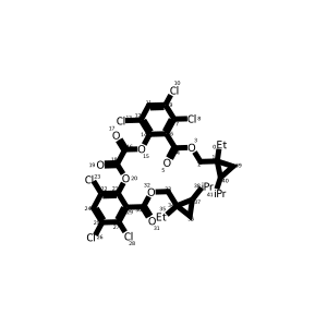 CCC1(COC(=O)c2c(Cl)c(Cl)cc(Cl)c2OC(=O)C(=O)Oc2c(Cl)cc(Cl)c(Cl)c2C(=O)OCC2(CC)CC2C(C)C)CC1C(C)C